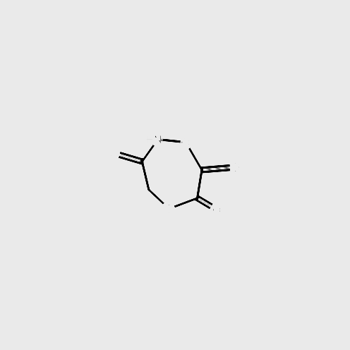 O=C1COC(=O)C(=O)ON1